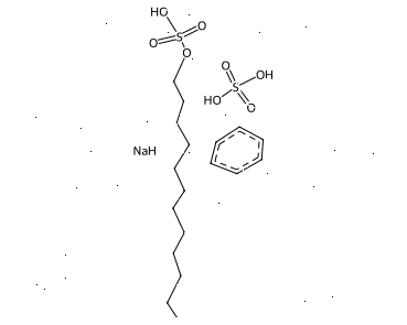 CCCCCCCCCCCCOS(=O)(=O)O.O=S(=O)(O)O.[NaH].c1ccccc1